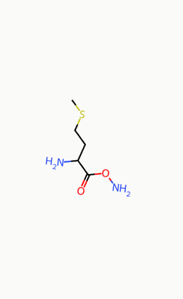 CSCCC(N)C(=O)ON